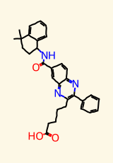 CC1(C)CCC(NC(=O)c2ccc3nc(-c4ccccc4)c(CCCCC(=O)O)nc3c2)c2ccccc21